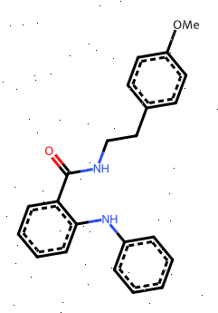 COc1ccc(CCNC(=O)c2ccccc2Nc2ccccc2)cc1